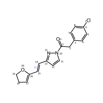 O=C(Cc1ccc(Cl)cc1)n1ccc(/C=C/C2=CCCO2)n1